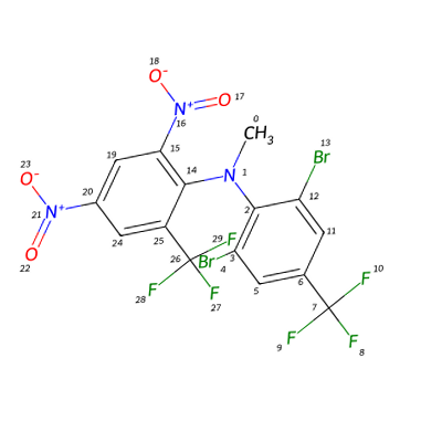 CN(c1c(Br)cc(C(F)(F)F)cc1Br)c1c([N+](=O)[O-])cc([N+](=O)[O-])cc1C(F)(F)F